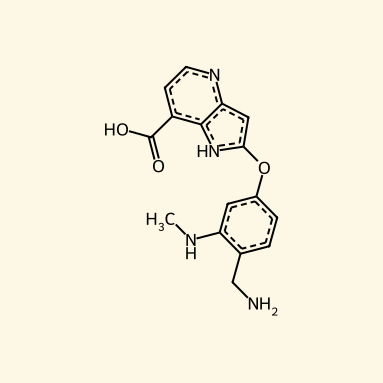 CNc1cc(Oc2cc3nccc(C(=O)O)c3[nH]2)ccc1CN